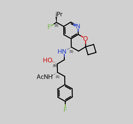 CC(=O)N[C@@H](Cc1ccc(F)cc1)[C@H](O)CN[C@H]1CC2(CCC2)Oc2ncc([C@@H](F)C(C)C)cc21